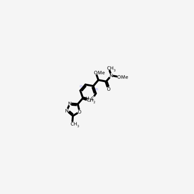 C=C(/C=C\C(=C/C)C(OC)C(=O)N(C)OC)c1nnc(C)o1